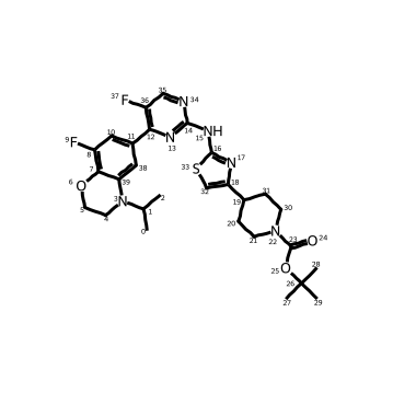 CC(C)N1CCOc2c(F)cc(-c3nc(Nc4nc(C5CCN(C(=O)OC(C)(C)C)CC5)cs4)ncc3F)cc21